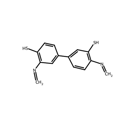 C=Nc1ccc(-c2ccc(S)c(N=C)c2)cc1S